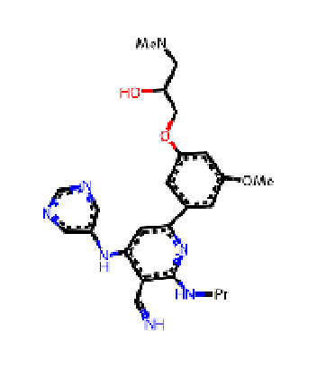 CNCC(O)COc1cc(OC)cc(-c2cc(Nc3cncnc3)c(C=N)c(NC(C)C)n2)c1